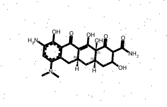 CN(C)c1cc(N)c(O)c2c1C[C@H]1C[C@H]3CC(O)C(C(N)=O)C(=O)[C@@]3(O)C(O)=C1C2=O